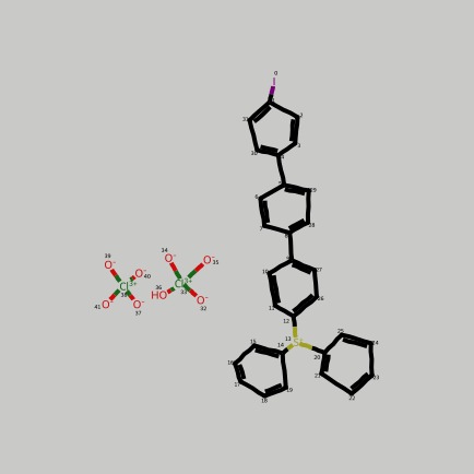 Ic1ccc(-c2ccc(-c3ccc([S+](c4ccccc4)c4ccccc4)cc3)cc2)cc1.[O-][Cl+3]([O-])([O-])O.[O-][Cl+3]([O-])([O-])[O-]